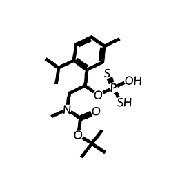 Cc1ccc(C(C)C)c(C(CN(C)C(=O)OC(C)(C)C)OP(O)(=S)S)c1